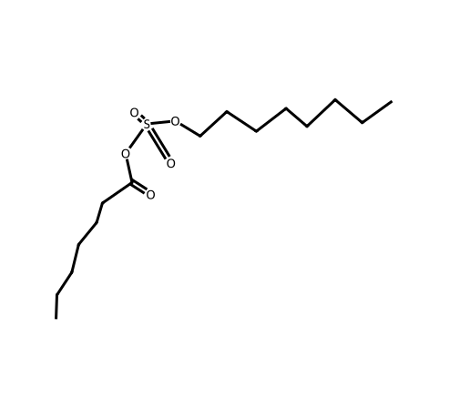 CCCCCCCCOS(=O)(=O)OC(=O)CCCCCC